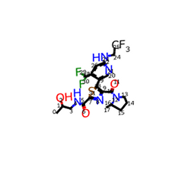 CC(O)CNC(=O)c1nc(C(=O)N2CCCC2C)c(-c2cnc(NCC(F)(F)F)cc2C(F)F)s1